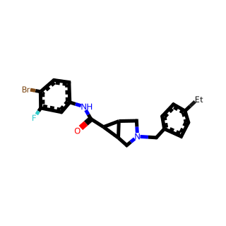 CCc1ccc(CN2CC3C(C2)C3C(=O)Nc2ccc(Br)c(F)c2)cc1